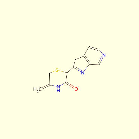 C=C1CSC(C2=Nc3cnccc3C2)C(=O)N1